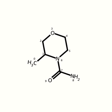 CC1COCCN1C(N)=O